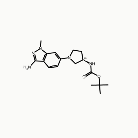 Cn1nc(N)c2ccc(N3CC[C@@H](NC(=O)OC(C)(C)C)C3)cc21